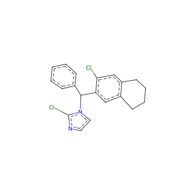 Clc1cc2c(cc1C(c1ccccc1)n1ccnc1Cl)CCCC2